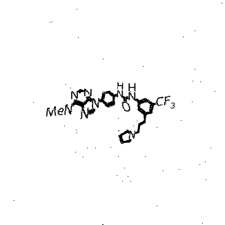 CNc1ncnc2c1ncn2-c1ccc(NC(=O)Nc2cc(CCCN3CCCC3)cc(C(F)(F)F)c2)cc1